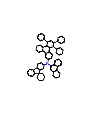 c1ccc(-c2cc(-c3ccccc3)c3c4ccccc4c4cc(N(c5ccc6c(c5)C5(CCCCC5)c5ccccc5-6)c5cc6ccccc6c6ccccc56)ccc4c3c2-c2ccccc2)cc1